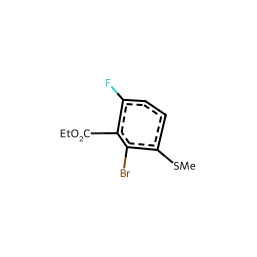 CCOC(=O)c1c(F)ccc(SC)c1Br